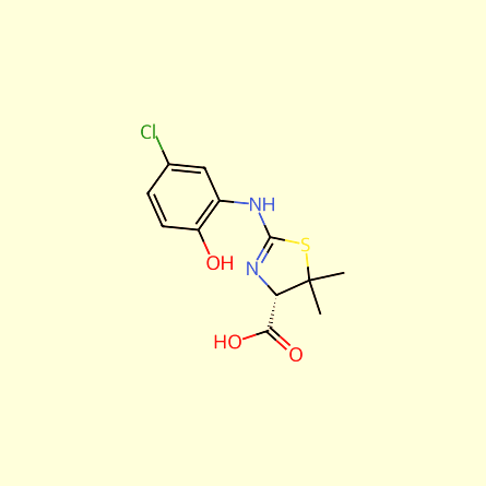 CC1(C)SC(Nc2cc(Cl)ccc2O)=N[C@H]1C(=O)O